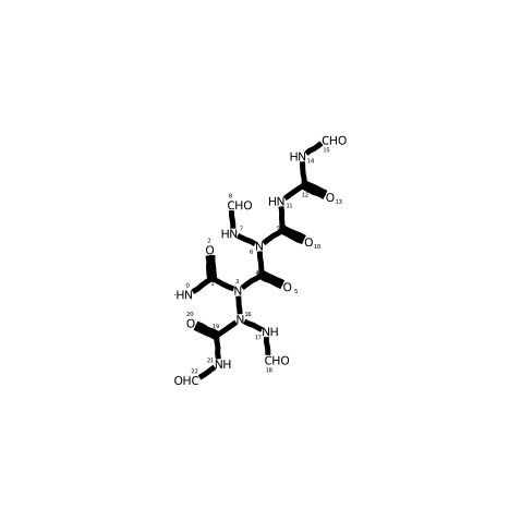 [NH]C(=O)N(C(=O)N(NC=O)C(=O)NC(=O)NC=O)N(NC=O)C(=O)NC=O